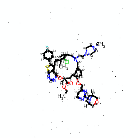 CCOC(=O)[C@H]1Cc2cc(ccc2OCc2ccnc(N3[C@@H]4CC[C@H]3COC4)n2)CN(CCN2CCN(C)CC2)Cc2ccc(c(C)c2Cl)-c2c(-c3ccc(F)cc3)sc3ncnc(c23)O1